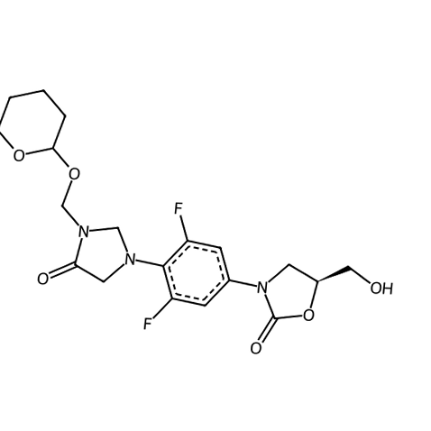 O=C1CN(c2c(F)cc(N3C[C@@H](CO)OC3=O)cc2F)CN1COC1CCCCO1